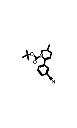 CC1CC=C(c2cccc(C#N)c2)N(C(=O)OC(C)(C)C)C1